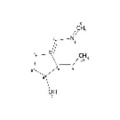 C=N/C=C1/CCC(O)/C1=C/C